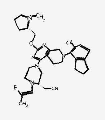 CC(F)=CN1CCN(c2nc(OC[C@@H]3CCCN3C)nc3c2CCN(c2c(Cl)ccc4c2CCC4)C3)C[C@@H]1CC#N